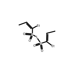 CC=C(CC)S(=O)(=O)SS(=O)(=O)C(=CC)CC